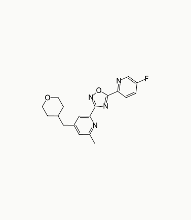 Cc1cc(CC2CCOCC2)cc(-c2noc(-c3ccc(F)cn3)n2)n1